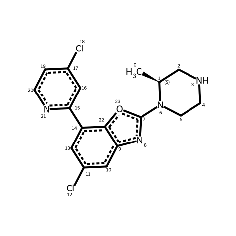 C[C@H]1CNCCN1c1nc2cc(Cl)cc(-c3cc(Cl)ccn3)c2o1